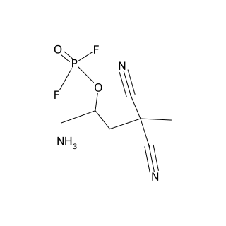 CC(CC(C)(C#N)C#N)OP(=O)(F)F.N